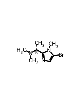 C[C@H](c1ncc(Br)n1C)N(C)C